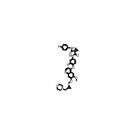 COc1cc2c(Oc3ccc(NC(=O)C4(C(=O)Nc5ccc(F)cc5)CC4)cc3F)ccnc2cc1OC[C@H]1CC1CN1CCOCC1